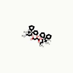 CCCC(OC(=O)CC(O)C(=O)OC(CCC)[Si](c1ccccc1)(c1ccccc1)C(C)(C)C)[Si](c1ccccc1)(c1ccccc1)C(C)(C)C